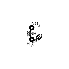 Cc1ccc(-c2nnc(-c3ccc([N+](=O)[O-])cc3)[nH]2)cc1SN1CCOCC1